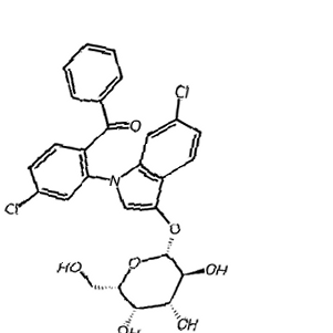 O=C(c1ccccc1)c1ccc(Cl)cc1-n1cc(O[C@H]2O[C@@H](CO)[C@@H](O)[C@@H](O)[C@@H]2O)c2ccc(Cl)cc21